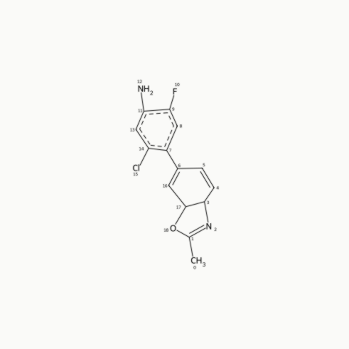 CC1=NC2C=CC(c3cc(F)c(N)cc3Cl)=CC2O1